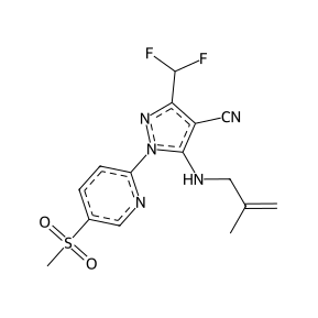 C=C(C)CNc1c(C#N)c(C(F)F)nn1-c1ccc(S(C)(=O)=O)cn1